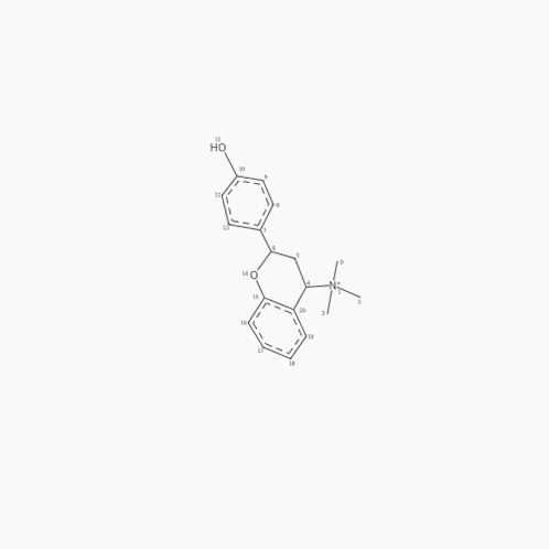 C[N+](C)(C)C1CC(c2ccc(O)cc2)Oc2ccccc21